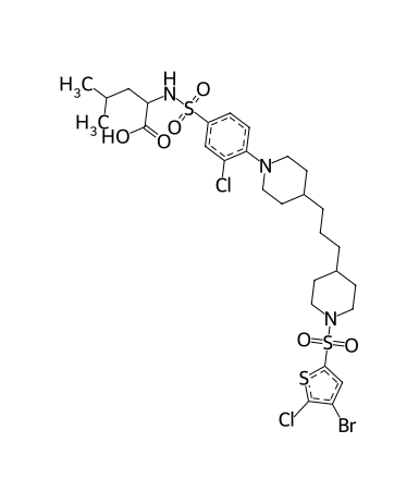 CC(C)CC(NS(=O)(=O)c1ccc(N2CCC(CCCC3CCN(S(=O)(=O)c4cc(Br)c(Cl)s4)CC3)CC2)c(Cl)c1)C(=O)O